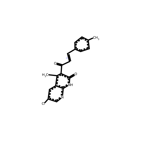 Cc1ccc(/C=C/C(=O)c2c(C)c3cc(Cl)cnc3[nH]c2=O)cc1